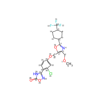 COCc1nc(C2CCC(C(F)(F)F)CC2)oc1COc1ccc(-c2noc(=O)[nH]2)c(Cl)c1